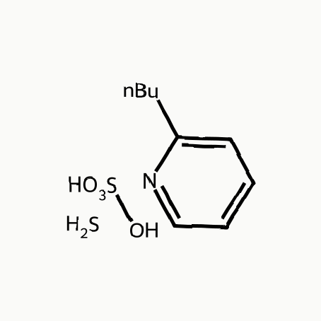 CCCCc1ccccn1.O=S(=O)(O)O.S